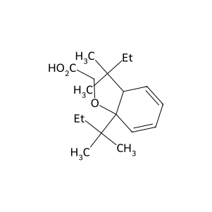 CCC(C)(C)C1C=CC=CC1(OCC(=O)O)C(C)(C)CC